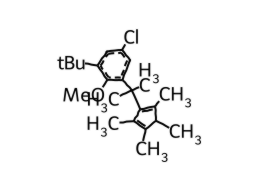 COc1c(C(C)(C)C)cc(Cl)cc1C(C)(C)C1=C(C)C(C)C(C)=C1C